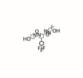 O=C(N1CCC(O)CC1)N1CC(c2ccc(C(F)(F)F)cc2)CC(c2nc(CC3(CO)CC3)no2)C1